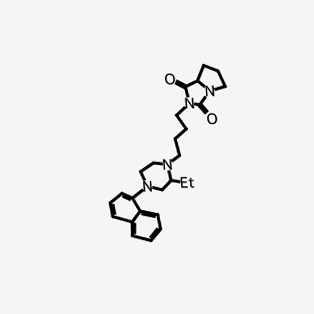 CCC1CN(c2cccc3ccccc23)CCN1CCCCN1C(=O)C2CCCN2C1=O